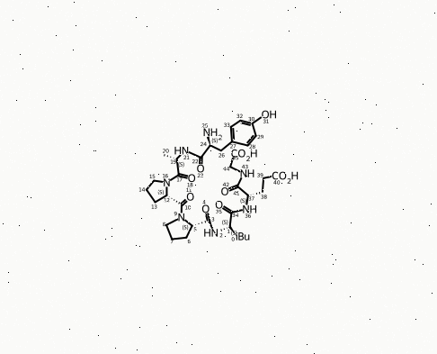 CC[C@H](C)[C@H](NC(=O)[C@@H]1CCCN1C(=O)[C@@H]1CCCN1C(=O)[C@H](C)NC(=O)[C@@H](N)Cc1ccc(O)cc1)C(=O)N[C@@H](CCC(=O)O)C(=O)NCC(=O)O